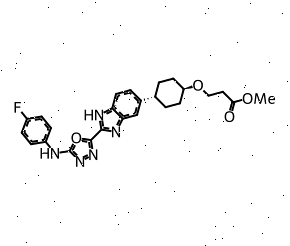 COC(=O)CCO[C@H]1CC[C@H](c2ccc3[nH]c(-c4nnc(Nc5ccc(F)cc5)o4)nc3c2)CC1